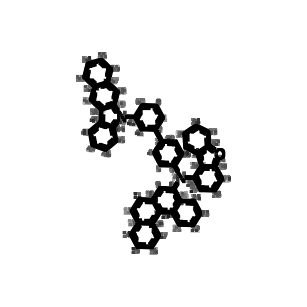 c1cc(-c2ccc(N(c3cc4ccc5ccccc5c4c4ccccc34)c3cccc4oc5ccccc5c34)cc2)cc(-n2c3ccccc3c3cc4ccccc4cc32)c1